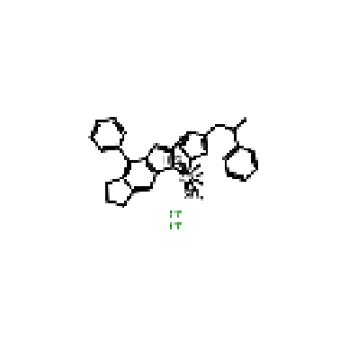 CC1=Cc2c(cc3c(c2-c2ccccc2)CCC3)[CH]1[Zr-6]([CH3])([CH3])([CH3])([CH3])(=[SiH2])(=[SiH2])[CH]1C=CC(CC(C)c2ccccc2)=C1.[Cl-].[Cl-]